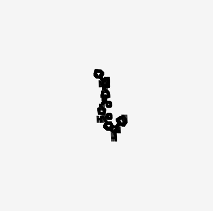 O=C(Nc1ccc2[nH]nc(-c3ccncc3)c2c1)[C@@H]1CCN(CC(=O)N2CCN(c3nc(-c4ccccc4)ns3)CC2)C1